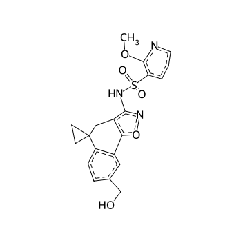 COc1ncccc1S(=O)(=O)Nc1noc2c1CC1(CC1)c1ccc(CO)cc1-2